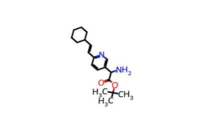 CC(C)(C)OC(=O)C(N)c1ccc(C=CC2CCCCC2)nc1